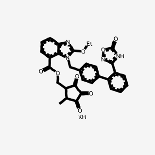 CCOc1nc2cccc(C(=O)OCC3C(=O)C(=O)C(=O)C3C)c2n1Cc1ccc(-c2ccccc2-c2noc(=O)[nH]2)cc1.[KH]